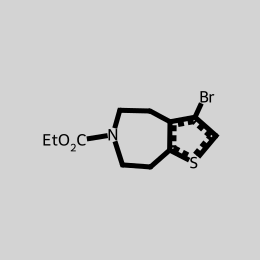 CCOC(=O)N1CCc2scc(Br)c2CC1